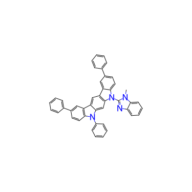 Cn1c(-n2c3ccc(-c4ccccc4)cc3c3cc4c5cc(-c6ccccc6)ccc5n(-c5ccccc5)c4cc32)nc2ccccc21